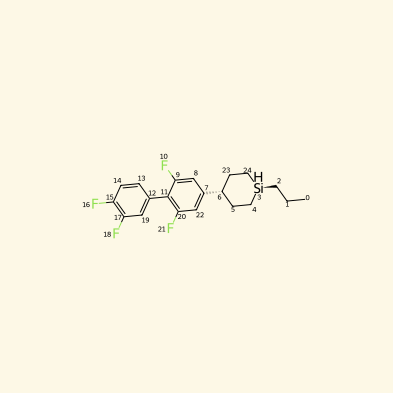 CCC[Si@H]1CC[C@H](c2cc(F)c(-c3ccc(F)c(F)c3)c(F)c2)CC1